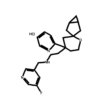 Cl.Fc1cncc(CNCCC2(c3ccccn3)CCOC3(CC4CC4C3)C2)c1